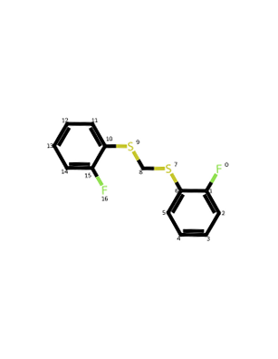 Fc1ccccc1SCSc1ccccc1F